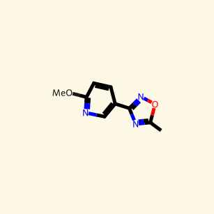 COc1ccc(-c2noc(C)n2)cn1